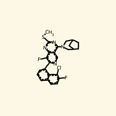 CSc1nc(N2CC3CCC(C3)C2)c2cnc(-c3cccc4ccc(F)c(Cl)c34)c(F)c2n1